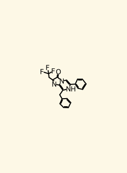 O=c1c(CC(F)(F)F)nc2c(Cc3ccccc3)[nH]c(-c3ccccc3)cn1-2